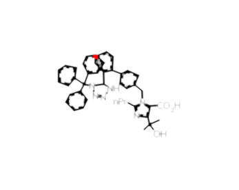 CCCc1nc(C(C)(C)O)c(C(=O)O)n1Cc1ccc(-c2ccccc2C2NN=NN2C(c2ccccc2)(c2ccccc2)c2ccccc2)cc1